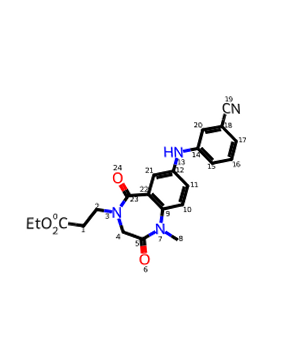 CCOC(=O)CCN1CC(=O)N(C)c2ccc(Nc3cccc(C#N)c3)cc2C1=O